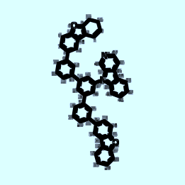 C1=Cc2c(oc3ccc(-c4cccc(-c5cc(-c6cccc(-c7ccc8oc9ccccc9c8c7)c6)cc(-n6c7ccccc7c7ccncc76)c5)c4)cc23)CC1